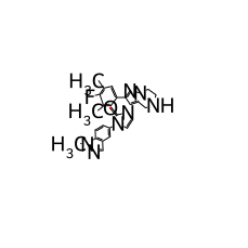 Cc1cc(-c2nn3c(c2-n2ccn(-c4ccc5c(cnn5C)c4)c2=O)CNCC3)cc(C)c1F